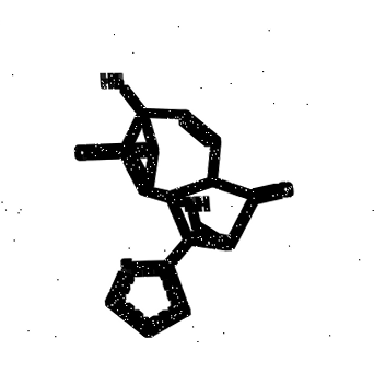 O=C1C2=C(c3cccs3)C3C=CC(S)(C=CC13)C(=O)CNC2